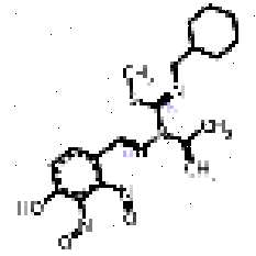 C=C(C)N(/N=C/c1ccc(O)c(N=O)c1N=O)/C(=N/CC1CCCCC1)SC